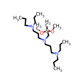 CCCN(CCC)CCCN(CCCN(CCC)CCC)C[Si](C)(OC)OC